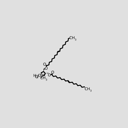 CCCCCCCCC=CCCCCCCCC(=O)OC[C@@H]1C[N+](C)(C)C[C@H]1COC(=O)CCCCCCCC=CCCCCCCCC.[Cl-]